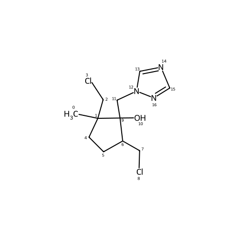 CC1(CCl)CCC(CCl)C1(O)Cn1cncn1